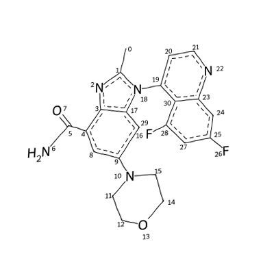 Cc1nc2c(C(N)=O)cc(N3CCOCC3)cc2n1-c1ccnc2cc(F)cc(F)c12